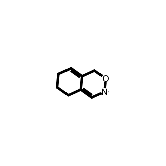 C1=C2CCCC=C2CO[N]1